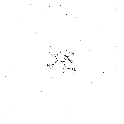 CC(C#N)N(SC(Cl)(Cl)Cl)S(=O)(=O)C(C)C